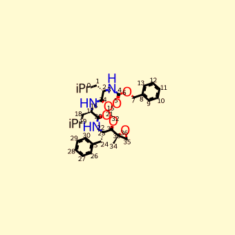 CC(C)C[C@H](NC(=O)OCc1ccccc1)C(=O)N[C@H](CC(C)C)C(=O)N[C@@H](Cc1ccccc1)C(=O)[C@@]1(C)CO1